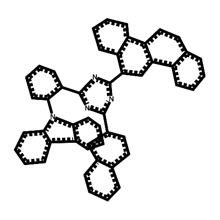 c1ccc(-n2c3ccccc3c3ccccc32)c(-c2nc(-c3ccc4ccccc4c3)nc(-c3cc4c5ccccc5ccc4c4ccccc34)n2)c1